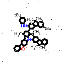 CB1c2cc3c(cc2-n2c4cc5oc6ccccc6c5cc4c4c(C)cc(-c5cc6c(cc5Nc5ccc(C(C)(C)C)cc5)C(C)(C)c5ccc(C(C)(C)C)cc5-6)c1c42)C(C)(C)c1ccccc1-3